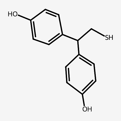 Oc1ccc(C(CS)c2ccc(O)cc2)cc1